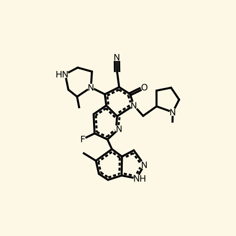 Cc1ccc2[nH]ncc2c1-c1nc2c(cc1F)c(N1CCNCC1C)c(C#N)c(=O)n2CC1CCCN1C